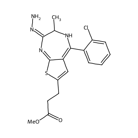 COC(=O)CCc1cc2c(s1)=NC(=NN)C(C)NC=2c1ccccc1Cl